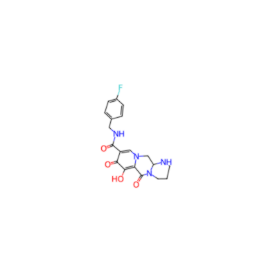 O=C(NCc1ccc(F)cc1)c1cn2c(c(O)c1=O)C(=O)N1CCCNC1C2